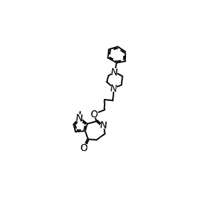 Cn1ccc2c1C(OCCCN1CCN(c3ccccc3)CC1)=NCCC2=O